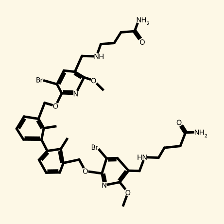 COc1nc(OCc2cccc(-c3cccc(COc4nc(OC)c(CNCCCC(N)=O)cc4Br)c3C)c2C)c(Br)cc1CNCCCC(N)=O